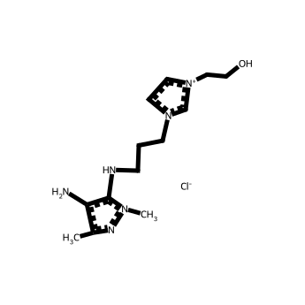 Cc1nn(C)c(NCCCn2cc[n+](CCO)c2)c1N.[Cl-]